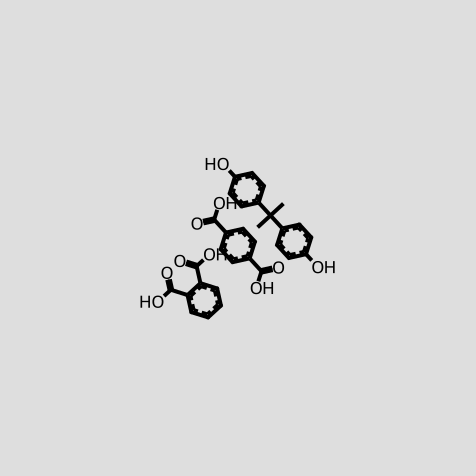 CC(C)(c1ccc(O)cc1)c1ccc(O)cc1.O=C(O)c1ccc(C(=O)O)cc1.O=C(O)c1ccccc1C(=O)O